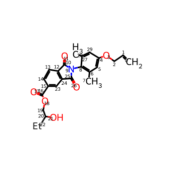 C=CCOc1cc(C)c(N2C(=O)c3ccc(C(=O)OCC(O)CC)cc3C2=O)c(C)c1